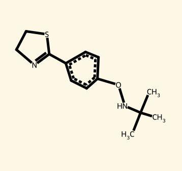 CC(C)(C)NOc1ccc(C2=NCCS2)cc1